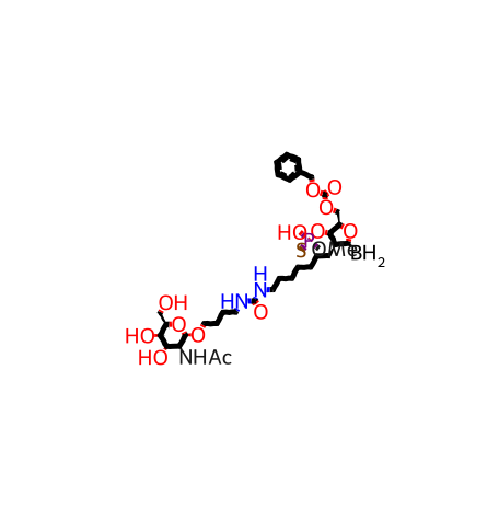 B[C@@H]1O[C@H](COC(=O)OCc2ccccc2)C(OP(O)(=S)OC)[C@@H]1CCCCCCCNC(=O)NCCCCO[C@@H]1O[C@H](CO)[C@H](O)[C@H](O)[C@H]1NC(C)=O